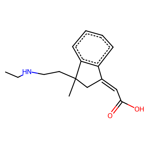 CCNCCC1(C)C/C(=C\C(=O)O)c2ccccc21